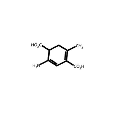 CC1=C(C(=O)O)C=C(N)C(C(=O)O)C1